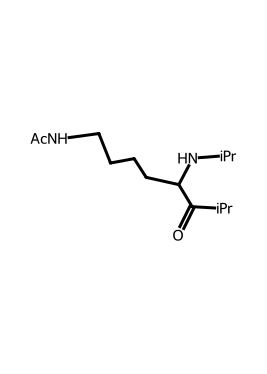 CC(=O)NCCCCC(NC(C)C)C(=O)C(C)C